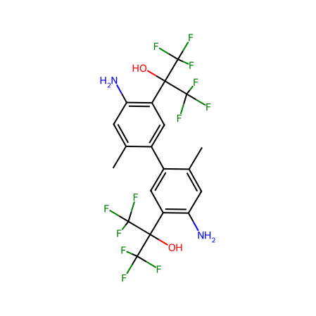 Cc1cc(N)c(C(O)(C(F)(F)F)C(F)(F)F)cc1-c1cc(C(O)(C(F)(F)F)C(F)(F)F)c(N)cc1C